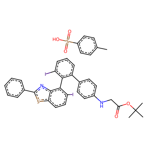 CC(C)(C)OC(=O)CNc1ccc(-c2cccc(I)c2-c2c(I)ccc3sc(-c4ccccc4)nc23)cc1.Cc1ccc(S(=O)(=O)O)cc1